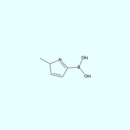 CC1C=CC(B(O)O)=N1